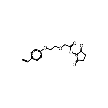 C=Cc1ccc(OCCOCC(=O)ON2C(=O)CCC2=O)cc1